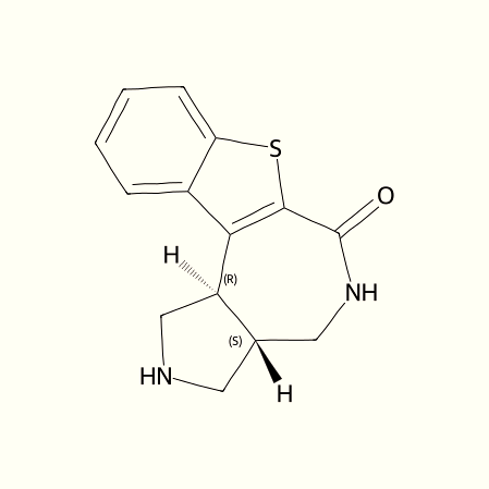 O=C1NC[C@@H]2CNC[C@H]2c2c1sc1ccccc21